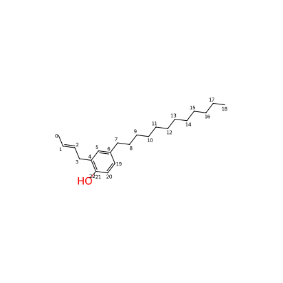 CC=CCc1cc(CCCCCCCCCCCC)ccc1O